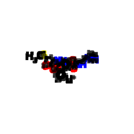 CSCC[C@H](NC(=O)c1ccc(S(=O)(=O)NCCCn2ccnc2)cc1-c1ccccc1)C(=O)[O-].[Li+]